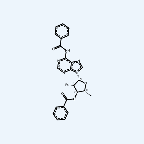 [CH2][C@H]1O[C@@H](n2cnc3c(NC(=O)c4ccccc4)ncnc32)[C@@H](F)[C@@H]1OC(=O)c1ccccc1